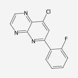 Fc1ccccc1-c1cc(Cl)c2nccnc2n1